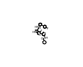 O=C(Nc1cncc(-c2ncc3[nH]nc(-c4nc5c(-c6ccc(F)cc6)cccc5[nH]4)c3c2F)c1)C1CCCCC1